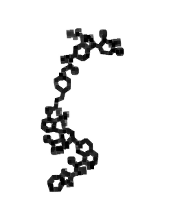 Cn1nc(C2CCC(=O)NC2=O)c2ccc(NC(=O)CN3CCC(CCCOc4cccc(-c5ccc(N6CCc7ccnc(C(=O)Nc8nc9ccccc9s8)c7C6)nc5C(=O)O)c4C(F)(F)F)CC3)cc21